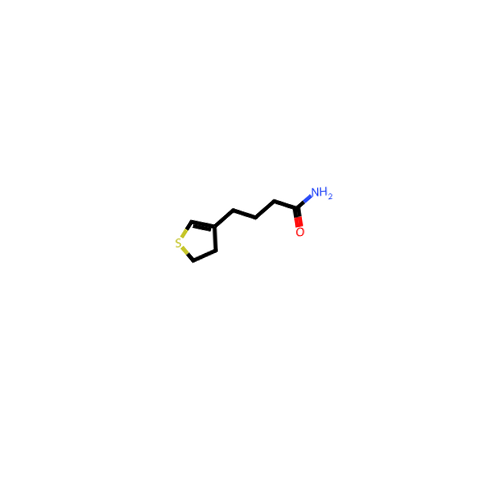 NC(=O)CCCC1=CSCC1